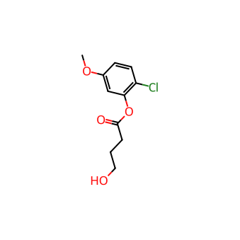 COc1ccc(Cl)c(OC(=O)CCCO)c1